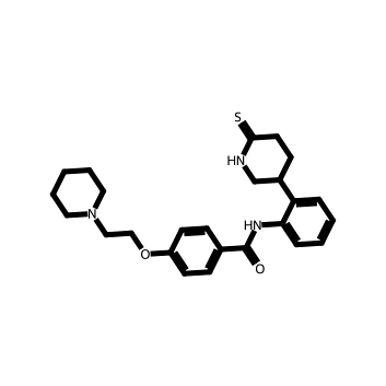 O=C(Nc1ccccc1C1CCC(=S)NC1)c1ccc(OCCN2CCCCC2)cc1